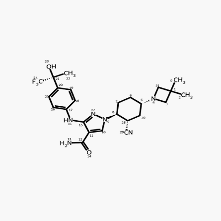 CC1(C)CN([C@H]2CC[C@H](n3cc(C(N)=O)c(Nc4ccc([C@](C)(O)C(F)(F)F)cc4)n3)[C@@H](C#N)C2)C1